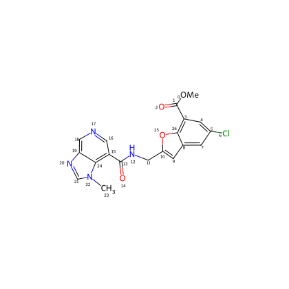 COC(=O)c1cc(Cl)cc2cc(CNC(=O)c3cncc4ncn(C)c34)oc12